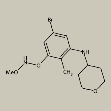 CONOc1cc(Br)cc(NC2CCOCC2)c1C